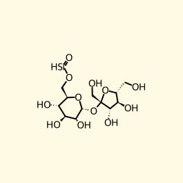 O=[SiH]OC[C@H]1O[C@H](O[C@]2(CO)O[C@H](CO)[C@@H](O)[C@@H]2O)[C@H](O)[C@@H](O)[C@@H]1O